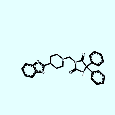 O=C1NC(c2ccccc2)(c2ccccc2)C(=O)N1CN1CCC(c2nc3ccccc3o2)CC1